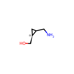 NCC1C[C@@H]1CO